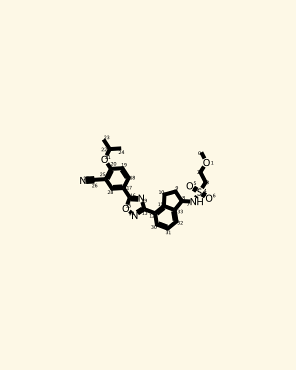 COCCS(=O)(=O)NC1CCc2c(-c3noc(-c4ccc(OC(C)C)c(C#N)c4)n3)cccc21